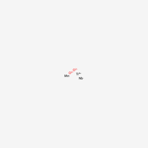 [Mn].[Nb].[O-2].[O-2].[Ti+4]